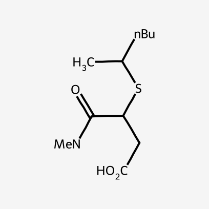 CCCCC(C)SC(CC(=O)O)C(=O)NC